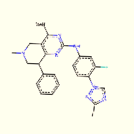 CNc1nc(Nc2ccc(-n3cnc(C)n3)c(F)c2)nc2c1CN(C)CC2c1ccccc1